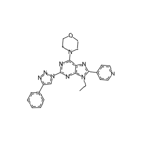 CCn1c(-c2ccncc2)nc2c(N3CCOCC3)nc(-n3cc(-c4ccccc4)nn3)nc21